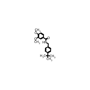 COc1ccc(C(=O)NCc2ccc(C(C)(C)C)cc2)cc1OC